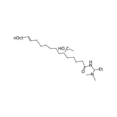 CC(=O)O.CCCCCCCCC=CCCCCCCCCCCCC(=O)NC(CC)N(C)C